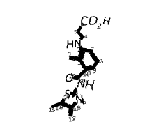 Cc1c(NCCC(=O)O)cccc1C(=O)NC1=NC(C)C(C)S1